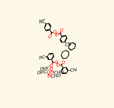 C1CCCCC1.C1CCCCCC1.N#Cc1ccc(C(=O)OOC(=O)c2ccc(C#N)cc2)cc1.N#Cc1cccc(C(=O)OOC(=O)c2cccc(C#N)c2)c1.O=COOC=O.O=COOC=O